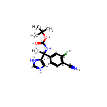 CC(C)(C)OC(=O)NC(C)(c1ccc(C#N)c(F)c1)c1cn[c][nH]1